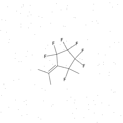 CC(C)=C1C(C)(F)C(F)(F)C(F)(F)C1(F)F